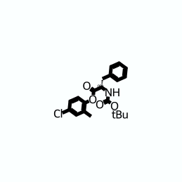 Cc1cc(Cl)ccc1OC(=O)[C@H](Cc1ccccc1)NC(=O)OC(C)(C)C